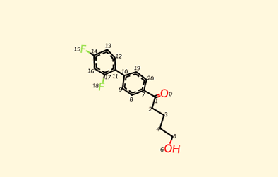 O=C(CCCCO)c1ccc(-c2ccc(F)cc2F)cc1